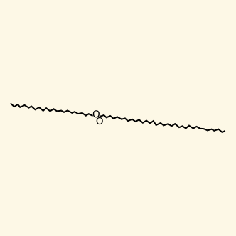 CCCCCCCCCCCCCCCCCCCCCCCCCCCCCCCCCCCC(=O)OCCCCCCCCCCCCCCCCCCCCCCCC